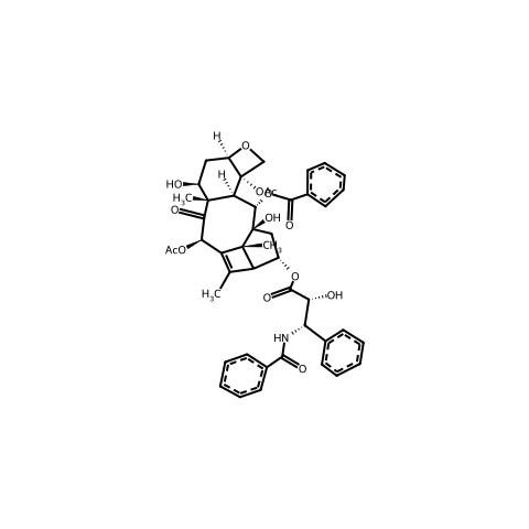 CC(=O)O[C@H]1C(=O)[C@@]2(C)[C@H]([C@H](OC(=O)c3ccccc3)[C@]3(O)C[C@H](OC(=O)[C@H](O)[C@@H](NC(=O)c4ccccc4)c4ccccc4)C4C(C)=C1[C@@]43C)[C@]1(OC(C)=O)CO[C@@H]1C[C@@H]2O